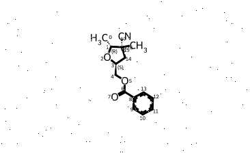 C[C@H]1O[C@H](COC(=O)c2ccccc2)C[C@@]1(C)C#N